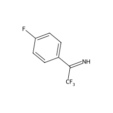 N=C(c1ccc(F)cc1)C(F)(F)F